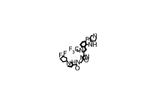 CN1CC[C@@H](Nc2cccc3c2cc(-c2noc(CNC(=O)c4ccn(C5CCC(F)(F)C5)c4)n2)n3CC(F)(F)F)[C@@H](F)C1